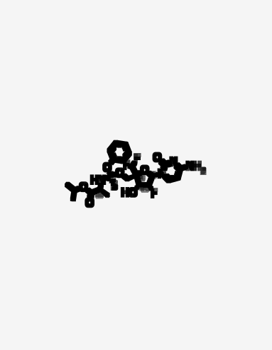 CC(C)OC(=O)[C@H](C)NP(=S)(OC[C@@]1(C(F)F)O[C@@H](n2ccc(N)nc2=O)[C@@H](F)[C@@H]1O)Oc1ccccc1